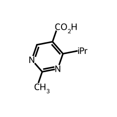 Cc1ncc(C(=O)O)c(C(C)C)n1